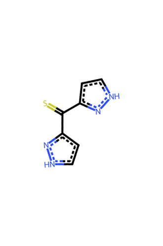 S=C(c1cc[nH]n1)c1cc[nH]n1